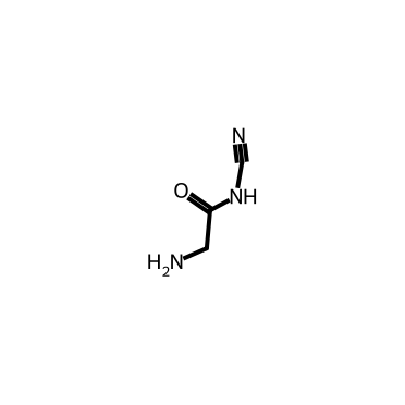 N#CNC(=O)CN